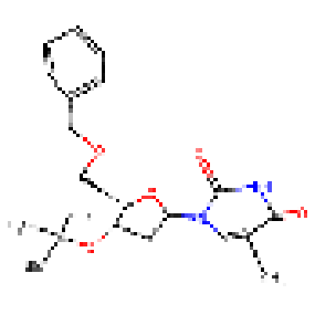 Cc1cn([C@H]2C[C@H](O[Si](C)(C)C(C)(C)C)[C@@H](COCc3ccccc3)O2)c(=O)[nH]c1=O